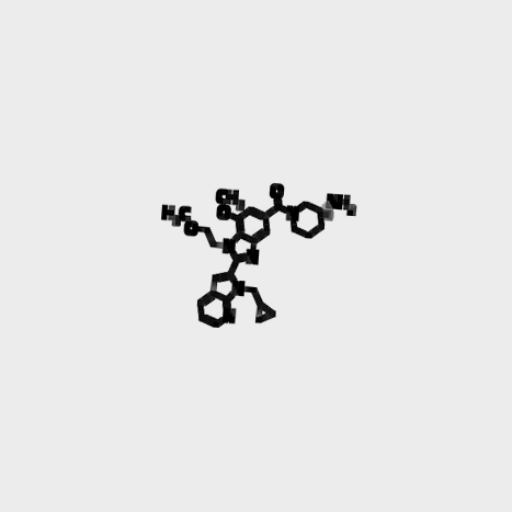 COCCn1c(-c2cc3cccnc3n2CC2CC2)nc2cc(C(=O)N3CCC[C@@H](N)C3)cc(OC)c21